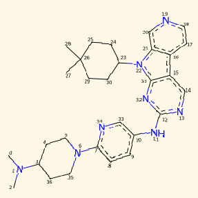 CN(C)C1CCN(c2ccc(Nc3ncc4c5ccncc5n(C5CCC(C)(C)CC5)c4n3)cn2)CC1